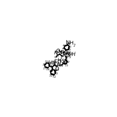 Cc1nonc1CN([C@H](CO)c1ccc(CNC(=O)[C@@H](NC(=O)O)C(c2ccccc2)c2ccccc2)s1)S(=O)(=O)c1ccc(N)cc1